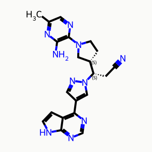 Cc1cnc(N2CC[C@H]([C@H](CC#N)n3cc(-c4ncnc5[nH]ccc45)cn3)C2)c(N)n1